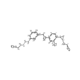 O=COC1CC1c1ccc(OCc2cccc(SCCCCCl)n2)cc1Cl